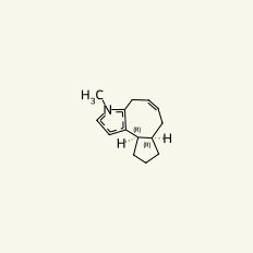 Cn1ccc2c1CC=CC[C@H]1CCC[C@@H]21